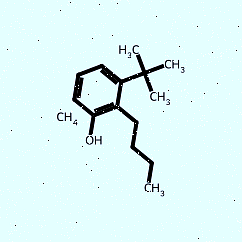 C.CCCCc1c(O)cccc1C(C)(C)C